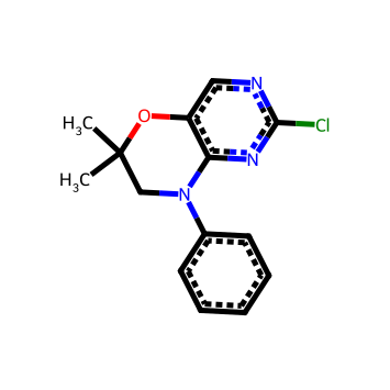 CC1(C)CN(c2ccccc2)c2nc(Cl)ncc2O1